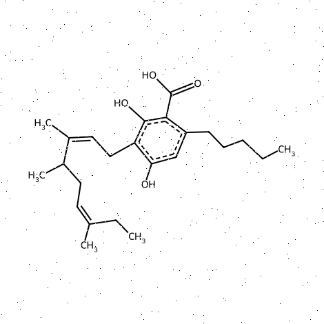 CCCCCc1cc(O)c(CC=C(C)C(C)CC=C(C)CC)c(O)c1C(=O)O